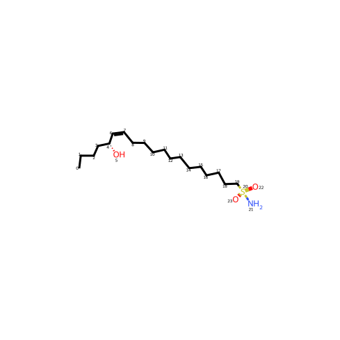 CCCC[C@@H](O)/C=C\CCCCCCCCCCCCS(N)(=O)=O